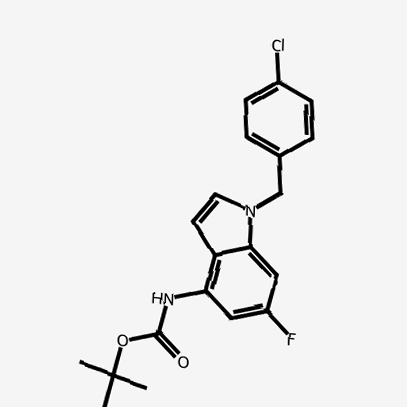 CC(C)(C)OC(=O)Nc1cc(F)cc2c1ccn2Cc1ccc(Cl)cc1